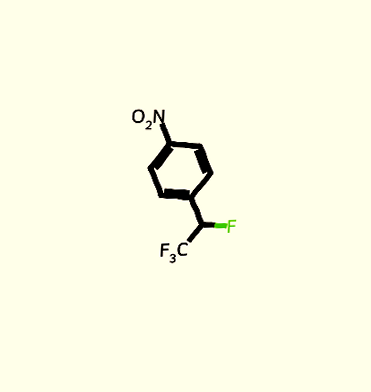 O=[N+]([O-])c1ccc(C(F)C(F)(F)F)cc1